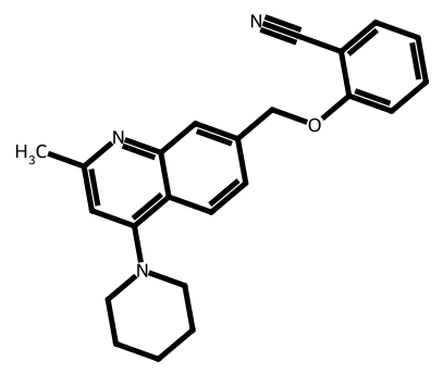 Cc1cc(N2CCCCC2)c2ccc(COc3ccccc3C#N)cc2n1